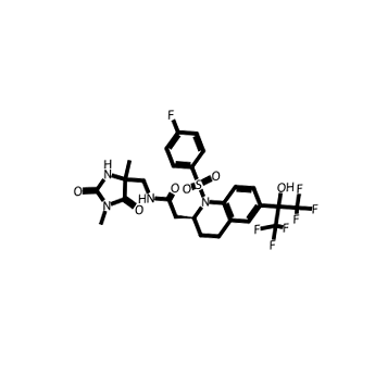 CN1C(=O)NC(C)(CNC(=O)C[C@@H]2CCc3cc(C(O)(C(F)(F)F)C(F)(F)F)ccc3N2S(=O)(=O)c2ccc(F)cc2)C1=O